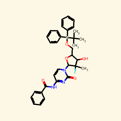 CC1(F)C(O)C(CO[Si](c2ccccc2)(c2ccccc2)C(C)(C)C)OC1n1ccc(NC(=O)c2ccccc2)nc1=O